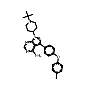 Cc1ccc(Oc2ccc(-c3nn(C4CCN(C(C)(C)C)CC4)c4ncnc(N)c34)cc2)cc1